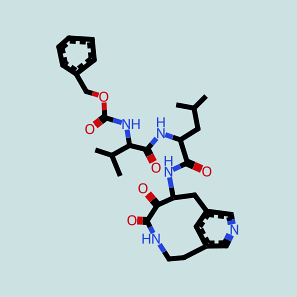 CC(C)CC(NC(=O)C(NC(=O)OCc1ccccc1)C(C)C)C(=O)NC1Cc2cncc(c2)CCNC(=O)C1=O